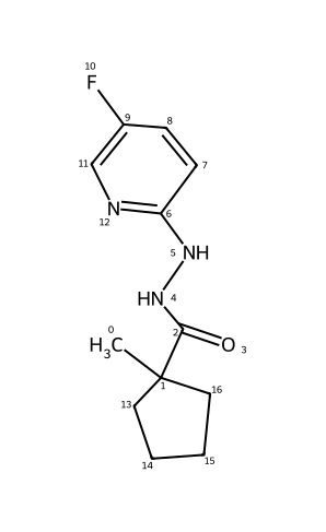 CC1(C(=O)NNc2ccc(F)cn2)CCCC1